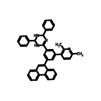 Cc1ccc(-c2cc(C3=NC(c4ccccc4)NC(c4ccccc4)N3)cc(-c3cc4ccccc4c4ccccc34)c2)c(C)n1